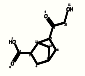 O=C(O)C1CC2CC(C(=O)CO)C1C2